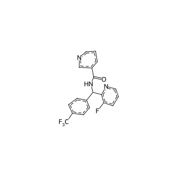 O=C(NC(c1ccc(C(F)(F)F)cc1)c1ncccc1F)c1cccnc1